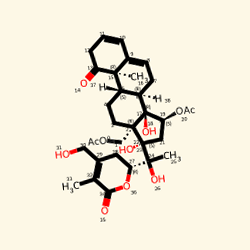 CC(=O)OC[C@]12CC[C@H]3[C@@H](CC=C4C=CCC(=O)[C@@]43C)[C@]1(O)[C@@H](OC(C)=O)C[C@@]2(O)C(C)(O)[C@H]1CC(CO)=C(C)C(=O)O1